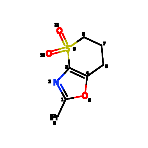 CC(C)c1nc2c(o1)CCCS2(=O)=O